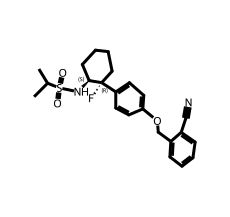 CC(C)S(=O)(=O)N[C@H]1CCCC[C@@]1(F)c1ccc(OCc2ccccc2C#N)cc1